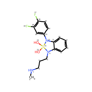 CNCCCN1c2ccccc2N(c2ccc(F)c(F)c2)S1(O)O